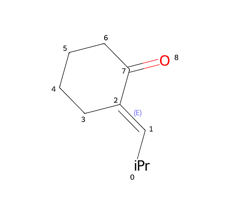 CC(C)/C=C1\CCCCC1=O